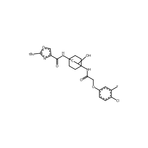 CC(C)(C)c1nc(C(=O)NC23CCC(NC(=O)COc4ccc(Cl)c(F)c4)(CC2)C(O)C3)co1